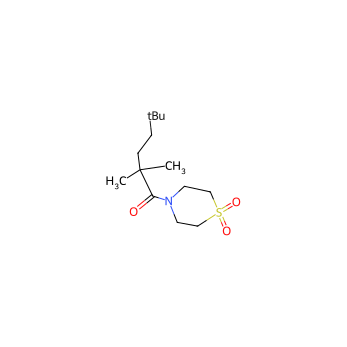 CC(C)(C)CCC(C)(C)C(=O)N1CCS(=O)(=O)CC1